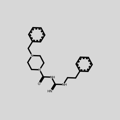 N=C(NCCc1ccccc1)NC(=O)N1CCN(Cc2ccccc2)CC1